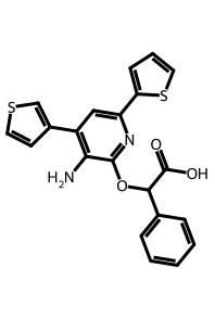 Nc1c(-c2ccsc2)cc(-c2cccs2)nc1OC(C(=O)O)c1ccccc1